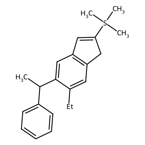 CCc1cc2c(cc1C(C)c1ccccc1)C=C(S(C)(C)C)C2